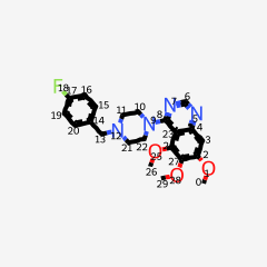 COc1cc2ncnc(N3CCN(Cc4ccc(F)cc4)CC3)c2c(OC)c1OC